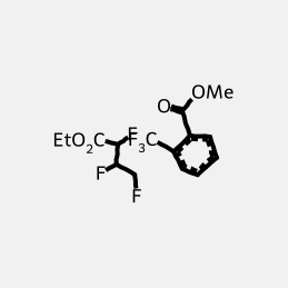 CCOC(=O)C(F)C(F)CF.COC(=O)c1ccccc1C(F)(F)F